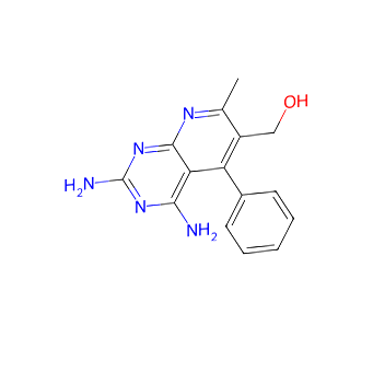 Cc1nc2nc(N)nc(N)c2c(-c2ccccc2)c1CO